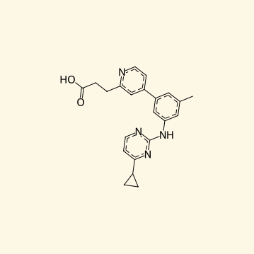 Cc1cc(Nc2nccc(C3CC3)n2)cc(-c2ccnc(CCC(=O)O)c2)c1